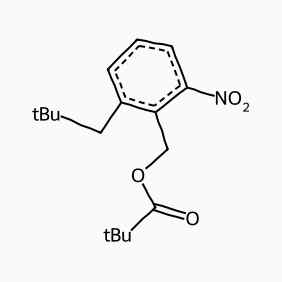 CC(C)(C)Cc1cccc([N+](=O)[O-])c1COC(=O)C(C)(C)C